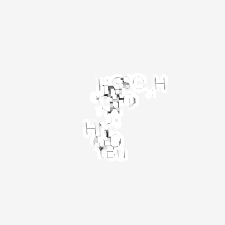 CC(C)(C)OC(=O)NC[C@@H]1CC[C@@H]2CN1C(=O)N2OS(=O)(=O)O